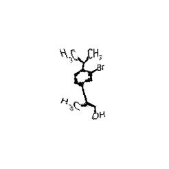 C[C](CO)c1ccc(C(C)C)c(Br)c1